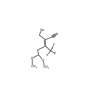 COC(CC(=C(C#N)CS)C(F)(F)F)OC